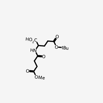 COC(=O)CCC(=O)NC(CCC(=O)OC(C)(C)C)C(=O)O